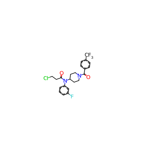 O=C(c1ccc(C(F)(F)F)cc1)N1CCC(N(C(=O)CCCl)c2cccc(F)c2)CC1